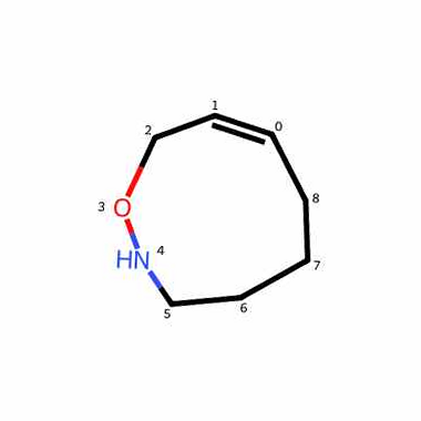 C1=C\CONCCCC/1